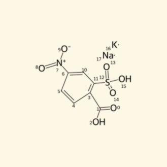 O=C(O)c1ccc([N+](=O)[O-])cc1S(=O)(=O)O.[K].[Na]